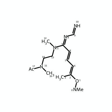 CNO/C(C)=C/C=C/C(=N\C=N)N(C)CCN(C)C(C)=O